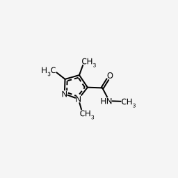 CNC(=O)c1c(C)c(C)nn1C